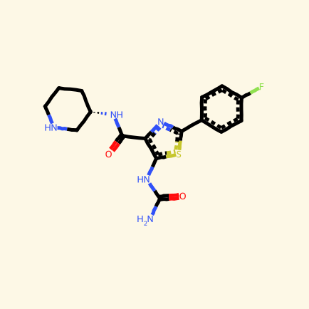 NC(=O)Nc1sc(-c2ccc(F)cc2)nc1C(=O)N[C@H]1CCCNC1